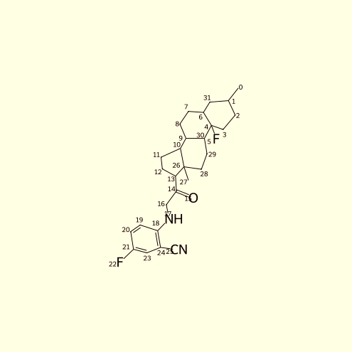 CC1CCC2(F)C(CCC3C4CCC(C(=O)CNc5ccc(F)cc5C#N)C4(C)CCC32)C1